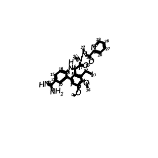 COc1ccc(C(Nc2ccc(C(=N)N)cc2)C(=O)N(C)N(C)C(=O)c2ccccn2)c(CI)c1OC